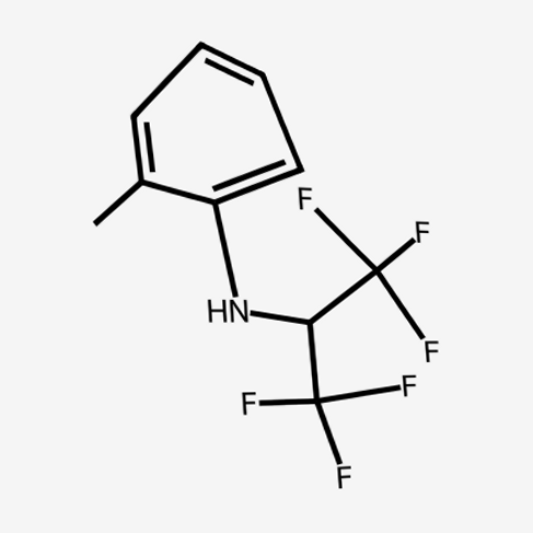 Cc1ccccc1NC(C(F)(F)F)C(F)(F)F